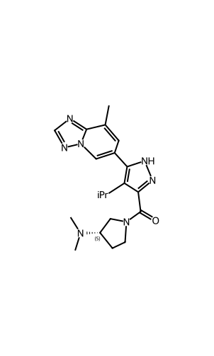 Cc1cc(-c2[nH]nc(C(=O)N3CC[C@H](N(C)C)C3)c2C(C)C)cn2ncnc12